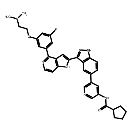 CN(C)CCOc1cc(F)cc(-c2nccc3[nH]c(-c4n[nH]c5ccc(-c6cncc(NC(=O)C7CCCC7)c6)cc45)cc23)c1